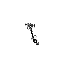 COc1ccc(OC(=O)CCCCCCC(=O)NO)cc1